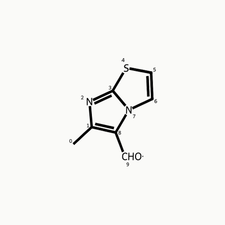 Cc1nc2sccn2c1[C]=O